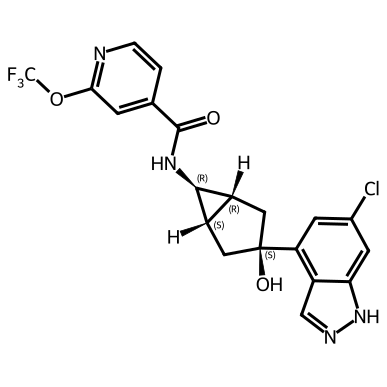 O=C(N[C@H]1[C@@H]2C[C@](O)(c3cc(Cl)cc4[nH]ncc34)C[C@@H]21)c1ccnc(OC(F)(F)F)c1